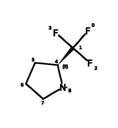 FC(F)(F)[C@H]1CCC[N]1